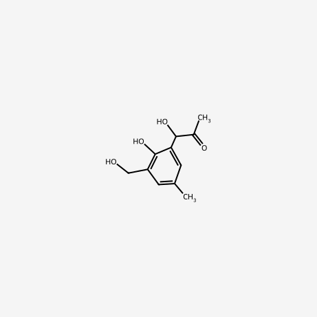 CC(=O)C(O)c1cc(C)cc(CO)c1O